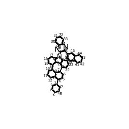 c1ccc(-c2ccc3c4c(cccc24)-c2cccc4c2c2c-3cccc2n4-c2nc3ccccc3nc2-c2ccc3ccccc3c2)cc1